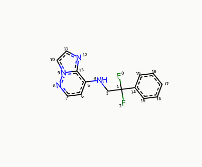 FC(F)(CNc1ccnn2ccnc12)c1ccccc1